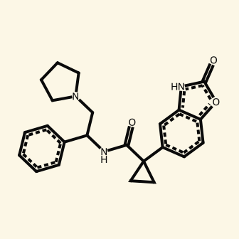 O=C(NC(CN1CCCC1)c1ccccc1)C1(c2ccc3oc(=O)[nH]c3c2)CC1